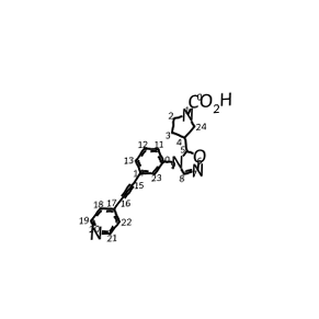 O=C(O)N1CCC(C2ON=CN2c2cccc(C#Cc3ccncc3)c2)C1